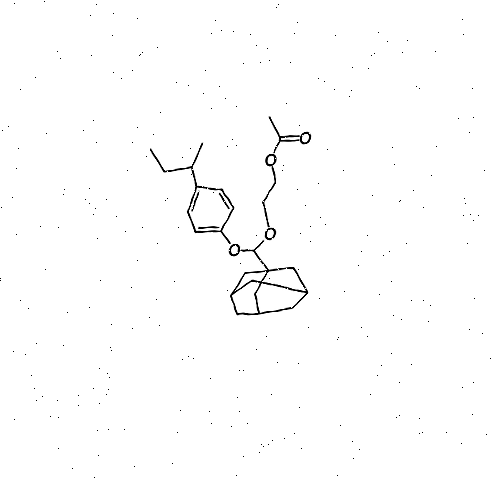 CCC(C)c1ccc(OC(OCCOC(C)=O)C23CC4CC(CC(C4)C2)C3)cc1